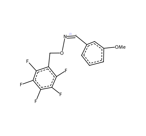 COc1cccc(/[C]=N\OCc2c(F)c(F)c(F)c(F)c2F)c1